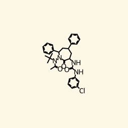 CC(=O)N(N1C(=O)C(NC(=O)Nc2cccc(Cl)c2)CC(c2ccccc2)CC1c1ccccc1)C(C)(C)C